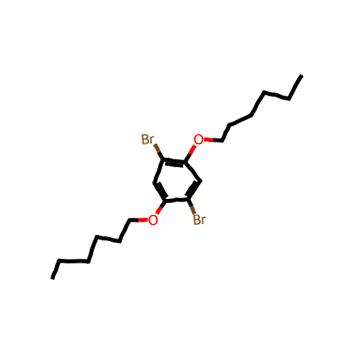 CCCCCCOc1cc(Br)c(OCCCCCC)cc1Br